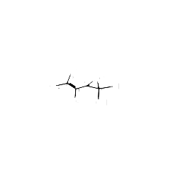 CC1(C)OC1C(Br)=C(Cl)Br